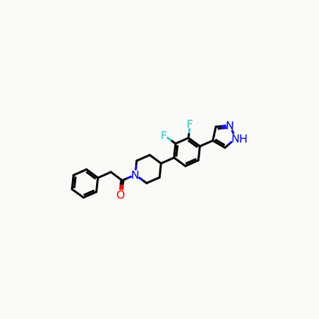 O=C(Cc1ccccc1)N1CCC(c2ccc(-c3cn[nH]c3)c(F)c2F)CC1